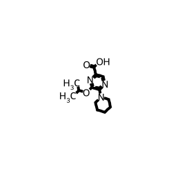 CC(C)Oc1nc(C(=O)O)cnc1N1CCCCC1